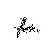 Cc1cc(C(F)(F)F)nc(-c2ccnc3cc(CN4C(=O)C5C(C4=O)C5(C)C)sc23)c1NC(=O)C1CNC1.O=C(O)C(F)(F)F